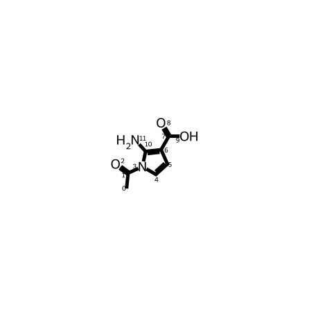 CC(=O)n1ccc(C(=O)O)c1N